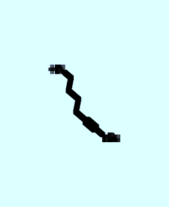 CCCCC#CCCCC[NH]